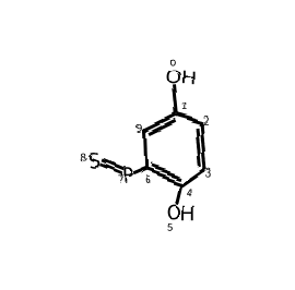 Oc1ccc(O)c(P=S)c1